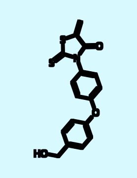 C=C1SC(=S)N(c2ccc(Oc3ccc(CO)cc3)cc2)C1=O